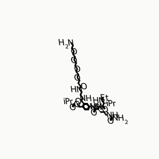 CCN[C@H](C(=O)N[C@@H](CCCNC(N)=O)C(=O)Nc1ccc(COC(=O)C(C)C)c(C(=O)NCCNC(=O)CCOCCOCCOCCOCCN)c1)C(C)C